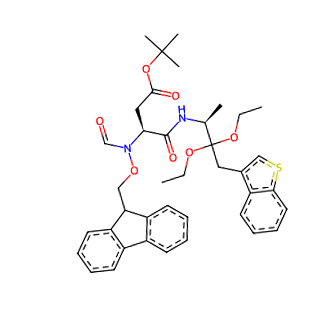 CCOC(Cc1csc2ccccc12)(OCC)[C@H](C)NC(=O)[C@H](CC(=O)OC(C)(C)C)N(C=O)OCC1c2ccccc2-c2ccccc21